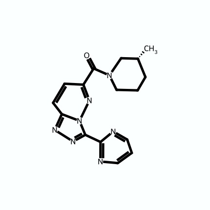 C[C@@H]1CCCN(C(=O)c2ccc3nnc(-c4ncccn4)n3n2)C1